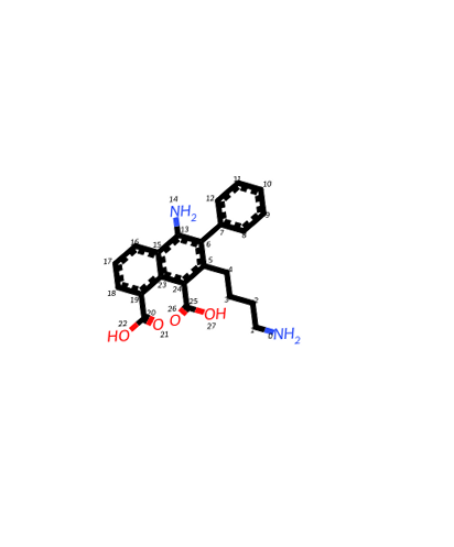 NCCCCc1c(-c2ccccc2)c(N)c2cccc(C(=O)O)c2c1C(=O)O